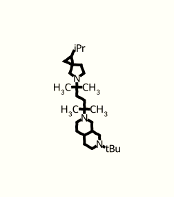 CC(C)C1CC12CCN(C(C)(C)CCC(C)(C)N1CCC3CCN(C(C)(C)C)CC3C1)C2